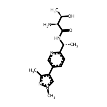 Cc1nn(C)cc1-c1ccc([C@@H](C)NC(=O)[C@@H](N)[C@@H](C)O)nc1